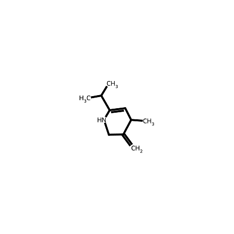 C=C1CNC(C(C)C)=CC1C